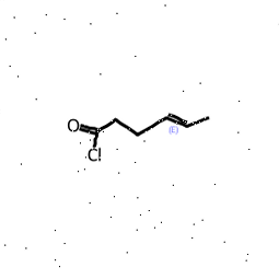 C/C=C/CCC(=O)Cl